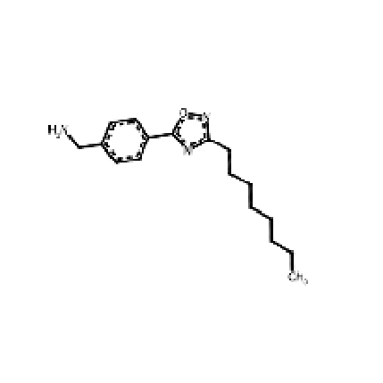 CCCCCCCCc1noc(-c2ccc(CN)cc2)n1